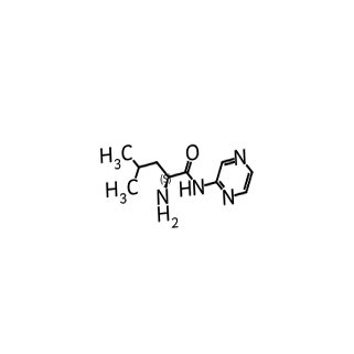 CC(C)C[C@H](N)C(=O)Nc1cnccn1